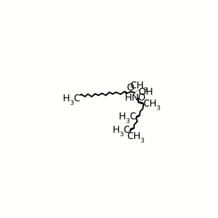 CCCCCCCCCCCCC/C=C/[C@@H](OC)[C@H](CO)NC(=O)/C=C(\C)CC/C=C(\C)CCC=C(C)C